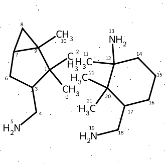 CC1(C)C(CN)CC2CC21C.CC1(N)CCCC(CN)C1(C)C